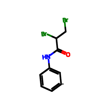 O=C(Nc1c[c]ccc1)C(Br)CBr